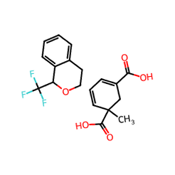 CC1(C(=O)O)C=CC=C(C(=O)O)C1.FC(F)(F)C1OCCc2ccccc21